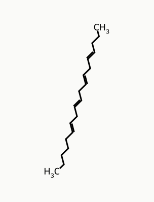 CCC/C=C/C/C=C/C/C=C/C/C=C/CCCCC